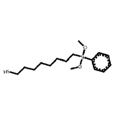 CO[Si](CCCCCCCCS)(OC)c1ccccc1